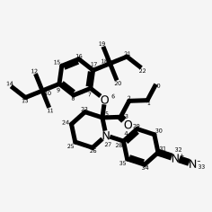 CCCC(=O)C1(Oc2cc(C(C)(C)CC)ccc2C(C)(C)CC)CCCCN1C1=CCC(=[N+]=[N-])C=C1